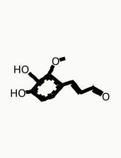 COc1c(C=C[C]=O)ccc(O)c1O